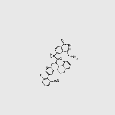 N#Cc1cccc(F)c1-c1ccc(CN(C(=O)C2(c3ccc4c(=O)[nH]nc(CN)c4c3)CC2)C2CCCc3cccnc32)nc1